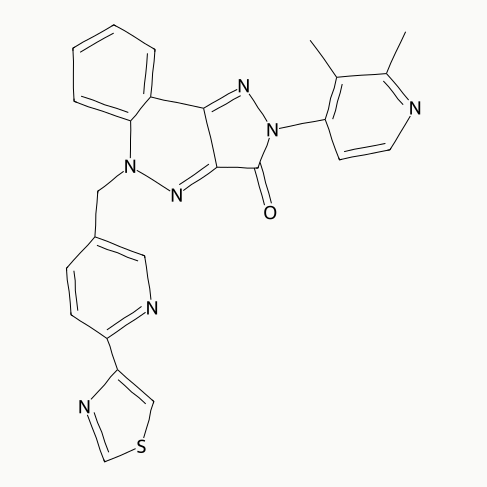 Cc1nccc(-n2nc3c4ccccc4n(Cc4ccc(-c5cscn5)nc4)nc-3c2=O)c1C